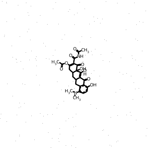 CC(=O)NC(=O)C1=C(OC(C)=O)CC2CC3Cc4c(N(C)C)ccc(O)c4C(=O)C3=C(O)C2(O)C1=O